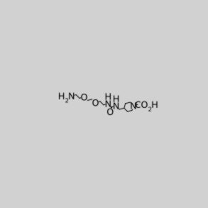 NCCOCCOCCNC(=O)NCC1CCN(C(=O)O)CC1